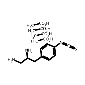 CC(=O)O.CC(=O)O.CC(=O)O.CC(=O)O.NCC(N)Cc1ccc(N=C=S)cc1